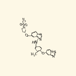 Cc1cc(Nc2ncnc3ccc(O[C@@H]4CCN(S(C)(=O)=O)C4)cc23)ccc1Oc1ccn2ncnc2c1